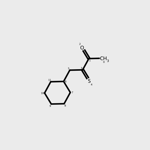 CC(=O)C(=S)CC1CCCCC1